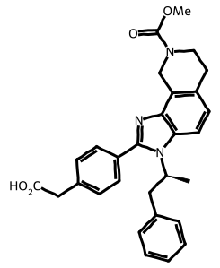 COC(=O)N1CCc2ccc3c(nc(-c4ccc(CC(=O)O)cc4)n3[C@@H](C)Cc3ccccc3)c2C1